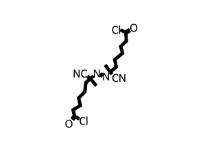 CC(C#N)(CCCCCC(=O)Cl)N=NC(C)(C#N)CCCCCC(=O)Cl